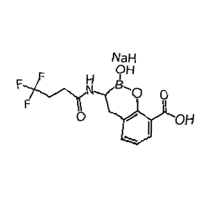 O=C(CCC(F)(F)F)NC1Cc2cccc(C(=O)O)c2OB1O.[NaH]